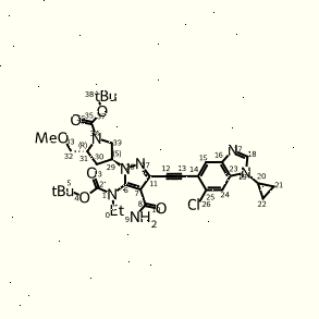 CCN(C(=O)OC(C)(C)C)c1c(C(N)=O)c(C#Cc2cc3ncn(C4CC4)c3cc2Cl)nn1[C@H]1C[C@H](COC)N(C(=O)OC(C)(C)C)C1